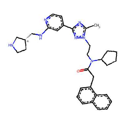 Cc1nc(-c2ccnc(NC[C@@H]3CCNC3)c2)nn1CCN(C(=O)Cc1cccc2ccccc12)C1CCCC1